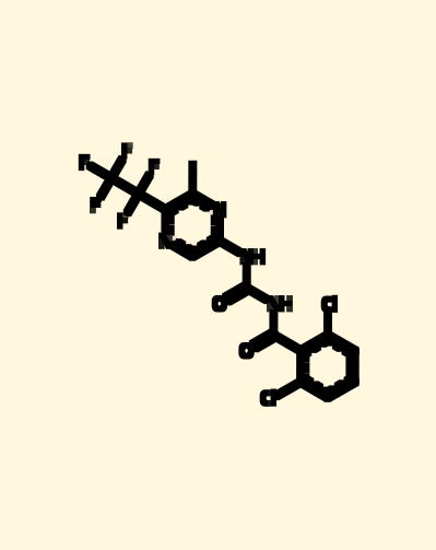 Cc1nc(NC(=O)NC(=O)c2c(Cl)cccc2Cl)cnc1C(F)(F)C(F)(F)F